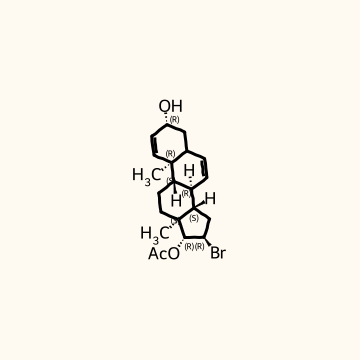 CC(=O)O[C@H]1[C@H](Br)C[C@H]2[C@@H]3C=CC4C[C@@H](O)C=C[C@]4(C)[C@H]3CC[C@@]21C